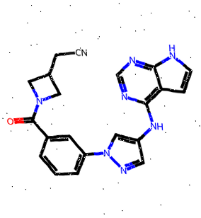 N#CCC1CN(C(=O)c2cccc(-n3cc(Nc4ncnc5[nH]ccc45)cn3)c2)C1